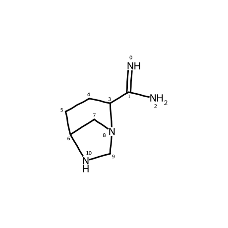 N=C(N)C1CCC2CN1CN2